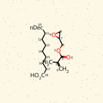 C=C(C)C(=O)OCC1CO1.CCCCCCCCCCCCCCCCCC(=O)O